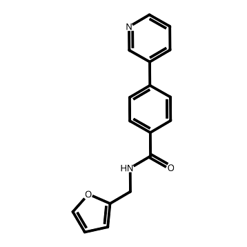 O=C(NCc1ccco1)c1ccc(-c2cccnc2)cc1